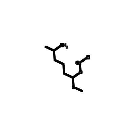 CSC(CCCC(C)N)[O][Sn][Cl]